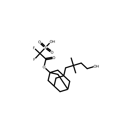 CC(C)(CCO)CC12CC3CC(C1)CC(OC(=O)C(F)(F)S(=O)(=O)O)(C3)C2